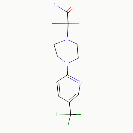 CC(C)(C(N)=O)N1CCN(c2ccc(C(F)(F)F)cn2)CC1